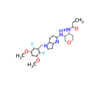 C=CC(=O)NC1CCOCC1Nc1ccc2c(ccn2Cc2c(F)c(OC)cc(OC)c2F)n1